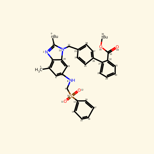 CCCCc1nc2c(C)cc(NCS(=O)(=O)c3ccccc3)cc2n1Cc1ccc(-c2ccccc2C(=O)OC(C)(C)C)cc1